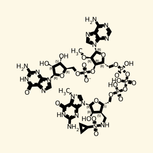 CO[C@@H]1[C@H](OP(=O)([O-])OC[C@H]2O[C@@H](n3cnc4c(=O)[nH]c(N)nc43)[C@H](O)[C@@H]2O)[C@@H](COP(=O)(O)OP(=O)(O)OP(=O)(O)OC[C@H]2O[C@@H](n3c[n+](C)c4c(=O)[nH]c(N)nc43)[C@H](O)[C@@H]2CNS(=O)(=O)C2CC2)O[C@H]1n1cnc2c(N)ncnc21